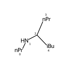 CCCNC(CCC)C(C)CC